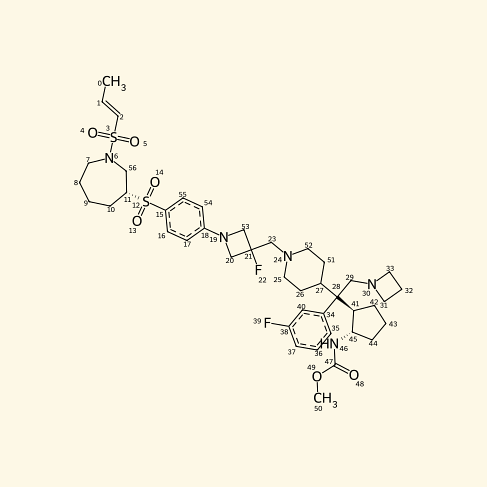 C/C=C/S(=O)(=O)N1CCCC[C@@H](S(=O)(=O)c2ccc(N3CC(F)(CN4CCC(C(CN5CCC5)(c5cccc(F)c5)[C@H]5CCC[C@@H]5NC(=O)OC)CC4)C3)cc2)C1